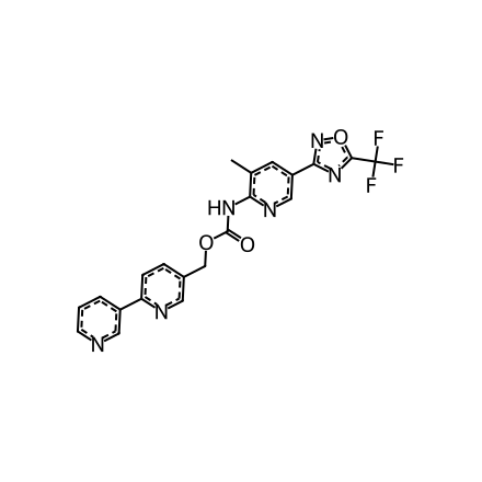 Cc1cc(-c2noc(C(F)(F)F)n2)cnc1NC(=O)OCc1ccc(-c2cccnc2)nc1